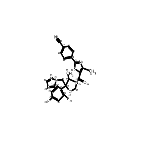 Cc1nc(-c2ccc(C#N)cc2)sc1C(=O)N1COC(Cn2cncn2)(c2ccc(F)cc2F)C1C